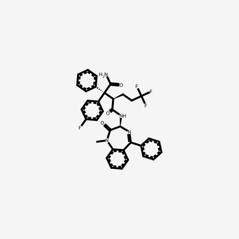 CN1C(=O)[C@@H](NC(=O)[C@H](CCC(F)(F)F)[C@@](C(N)=O)(c2ccccc2)c2ccc(F)cc2)N=C(c2ccccc2)c2ccccc21